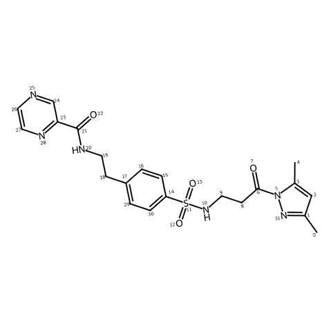 Cc1cc(C)n(C(=O)CCNS(=O)(=O)c2ccc(CCNC(=O)c3cnccn3)cc2)n1